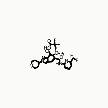 CC(C)Oc1c(C(=O)Nc2cccc(C(F)F)n2)cc2cn(C3CCOCC3)nc2c1Cl.O=C(O)C(F)(F)F